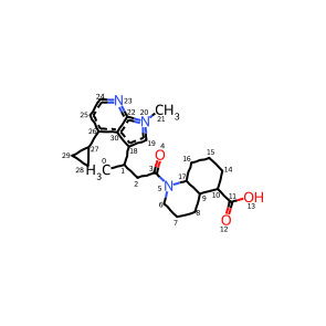 CC(CC(=O)N1CCCC2C(C(=O)O)CCCC21)c1cn(C)c2nccc(C3CC3)c12